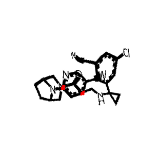 N#Cc1ccc(N2C3CCC2CN(C(=O)CCNC2(c4cc(Cl)cc(C#N)c4)CC2)C3)nc1